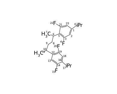 CC(C)c1cc(F)c(C(C)CCC(C)c2cc(F)c(C(C)C)cc2F)c(F)c1